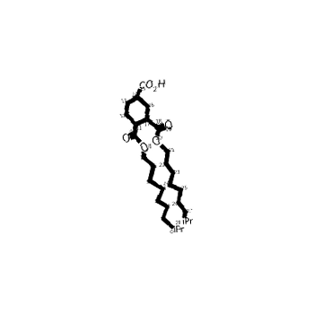 CC(C)CCCCCCCOC(=O)C1CCC(C(=O)O)CC1C(=O)OCCCCCCCC(C)C